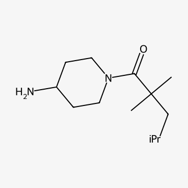 CC(C)CC(C)(C)C(=O)N1CCC(N)CC1